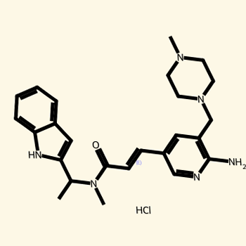 CC(c1cc2ccccc2[nH]1)N(C)C(=O)/C=C/c1cnc(N)c(CN2CCN(C)CC2)c1.Cl